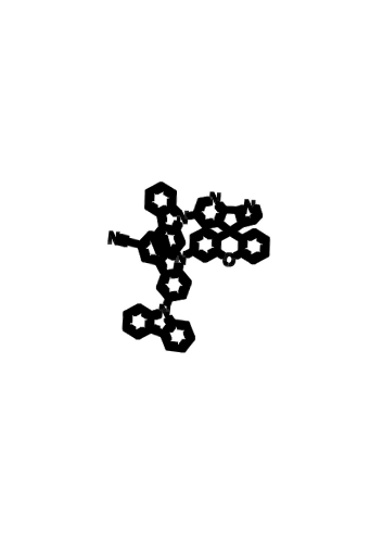 N#Cc1ccc2c(c1)c1cc(-n3c4ccccc4c4ccccc43)ccc1n2-c1ccc2c(c1)Oc1ccccc1C21c2cccnc2-c2ncc(-n3c4ccccc4c4ccccc43)cc21